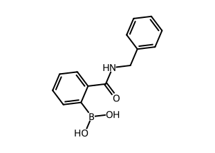 O=C(NCc1ccccc1)c1ccccc1B(O)O